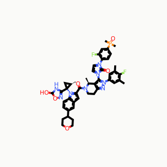 Cc1cc(-n2nc3c(c2-n2ccn(-c4ccc(P(C)(C)=O)cc4F)c2=O)[C@H](C)N(C(=O)c2cc4cc(C5CCOCC5)ccc4n2[C@@]2(C4=NOC(O)N4)C[C@@H]2C)CC3)cc(C)c1F